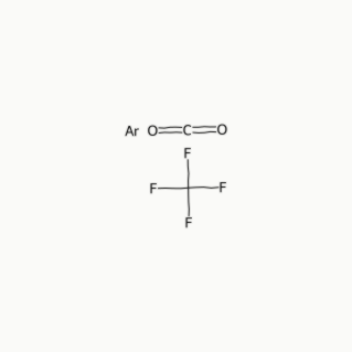 FC(F)(F)F.O=C=O.[Ar]